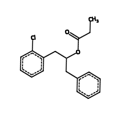 CCC(=O)OC(Cc1ccccc1)Cc1ccccc1Cl